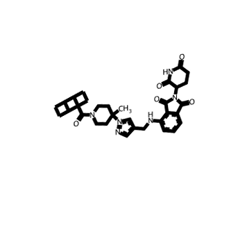 CC1(n2cc(CNc3cccc4c3C(=O)N(C3CCC(=O)NC3=O)C4=O)cn2)CCN(C(=O)C23C4C5C6C4C2C6C53)CC1